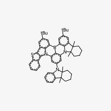 CC(C)(C)c1cc2c3c(c1)C1(C)CCCCC1(C)N3c1cc(N3c4ccccc4C4(C)CCCCC34C)cc3c1B2c1cc(C(C)(C)C)cc2c4sc5ccccc5c4n-3c12